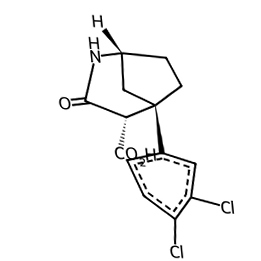 O=C(O)[C@@H]1C(=O)N[C@@H]2CC[C@@]1(c1ccc(Cl)c(Cl)c1)C2